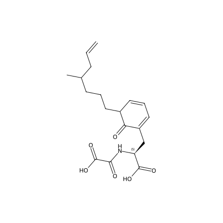 C=CCC(C)CCCC1C=CC=C(C[C@H](NC(=O)C(=O)O)C(=O)O)C1=O